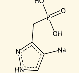 O=P(O)(O)Cc1n[nH]c[c]1[Na]